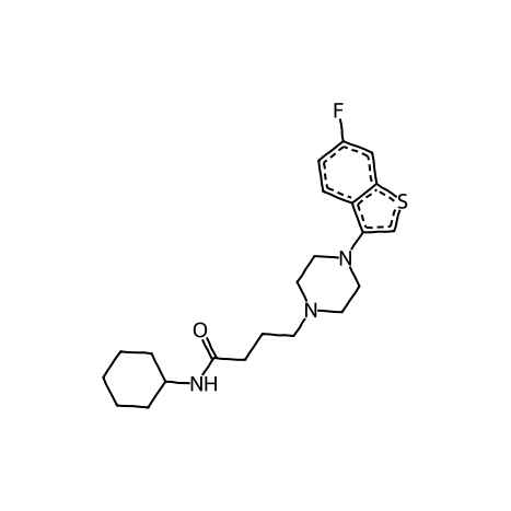 O=C(CCCN1CCN(c2csc3cc(F)ccc23)CC1)NC1CCCCC1